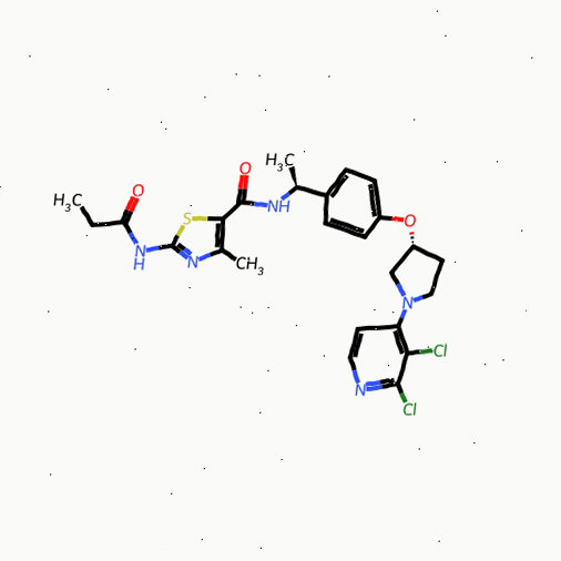 CCC(=O)Nc1nc(C)c(C(=O)N[C@@H](C)c2ccc(O[C@@H]3CCN(c4ccnc(Cl)c4Cl)C3)cc2)s1